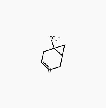 O=C(O)C12CC=NCC1C2